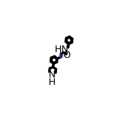 O=C(/C=C/c1cccc(C2CCNCC2)c1)NCc1ccccc1